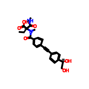 CC[C@@](C(=O)O)(C(=O)NC)N(C)C(=O)c1ccc(C#Cc2ccc([C@H](O)CO)cc2)cc1